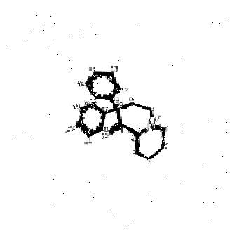 C=C1C2CCCCN2CCC1(c1ccccc1)c1ccccc1